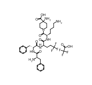 NCCCC[C@@H](NC(=O)C(CCC(F)(F)F)NC(=O)[C@@H](Cc1ccccc1)NC(=O)[C@H](N)Cc1ccccc1)C(=O)N1CCC(N)(C(=O)O)CC1.O=C(O)C(F)(F)F